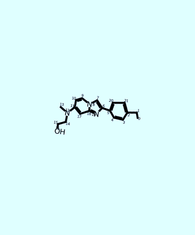 CCc1ccc(-c2cn3ccc(N(C)CCO)cc3n2)cc1